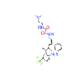 C[C@H](CC[C@@H]1[C@H](C)c2cc(C(F)(F)F)ccc2N[C@H]1C1C=CC=CC1)CNC(=O)C(=O)NCCN(C)C